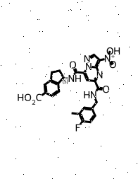 Cc1cc(CNC(=O)c2cc(C(=O)N[C@H]3CCc4cc(C(=O)O)ccc43)n3ncc([N+](=O)O)c3n2)ccc1F